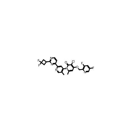 Cc1cnc(-c2ccnc(C3CC(F)(F)C3)n2)cc1-n1c(C)cc(OCc2ncc(F)cc2F)c(Cl)c1=O